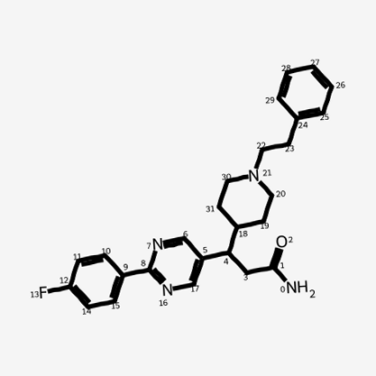 NC(=O)CC(c1cnc(-c2ccc(F)cc2)nc1)C1CCN(CCc2ccccc2)CC1